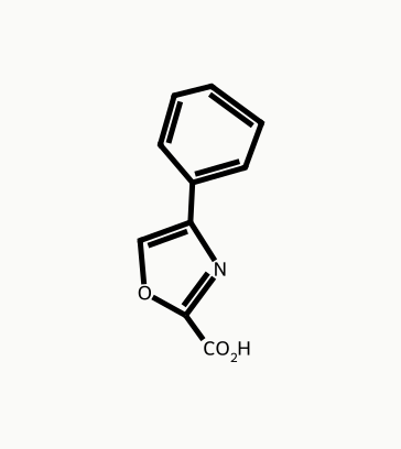 O=C(O)c1nc(-c2ccccc2)co1